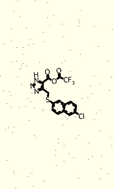 O=C(OC(=O)C(F)(F)F)c1[nH]nnc1CSc1ccc2cc(Cl)ccc2c1